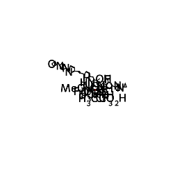 COC(=O)N[C@H](C(=O)N[C@@H](Cc1ccc(C#Cc2ccc(N3CCN(C4COC4)CC3)nc2)cc1)[C@@H](O)CN(Cc1c(F)cc(-c2ccn(C3CC3)n2)cc1F)NC(=O)[C@@H](NC(=O)O)C(C)(C)C(F)(F)F)C(C)(C)C(F)(F)F